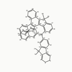 CC1(C)C2=CCCC=C2c2ccc(N(c3ccc4ccccc4c3)c3cccc4c3-c3c(c5ccccc5c5c3oc3ccccc35)C4(C)C)cc21